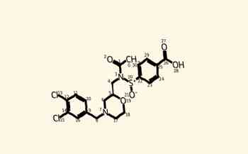 CC(=O)N(C[C@@H]1CN(Cc2ccc(Cl)c(Cl)c2)CCO1)[S+]([O-])c1ccc(C(=O)O)cc1